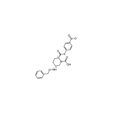 O=C(Sc1ccc([N+](=O)[O-])cc1)[C@@H]1CC[C@@H](NOCc2ccccc2)CN1C(=O)O